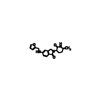 C=C1CCC(N2Cc3cc(NCc4ccco4)ccc3C2=O)C(=O)N1